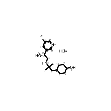 CC(C)(CC1CCC(O)CC1)NC[C@H](O)c1cncc(F)c1.Cl